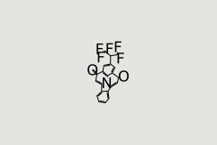 O=c1cc2c3ccccc3c3cc(=O)c4cc(C(C(F)F)C(F)(F)F)cc1c4n23